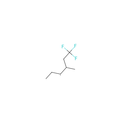 CC[CH]C(C)CC(F)(F)F